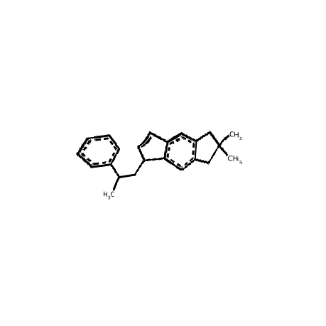 CC(C[C]1C=Cc2cc3c(cc21)CC(C)(C)C3)c1ccccc1